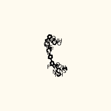 O=C1CCC(Nc2ccccc2CN2CCN(C3CCN(c4ccc(-c5cc(F)c6c(c5)C(=O)N(C(C(=O)Nc5nccs5)c5ncn7c5CCC7)C6)cc4)CC3(F)F)CC2)C(=O)N1